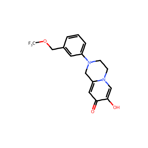 O=c1cc2n(cc1O)CCN(c1cccc(COC(F)(F)F)c1)C2